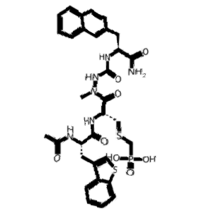 CC(=O)N[C@@H](Cc1csc2ccccc12)C(=O)N[C@@H](CSCP(=O)(O)O)C(=O)N(C)NC(=O)N[C@@H](Cc1ccc2ccccc2c1)C(N)=O